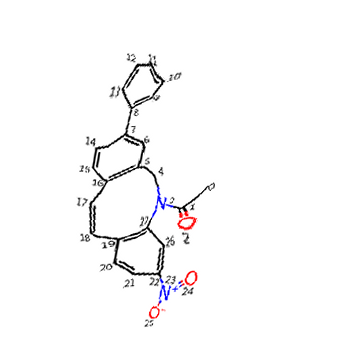 CC(=O)N1Cc2cc(-c3ccccc3)ccc2C=Cc2ccc([N+](=O)[O-])cc21